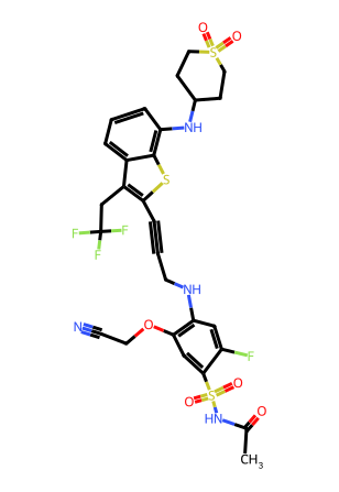 CC(=O)NS(=O)(=O)c1cc(OCC#N)c(NCC#Cc2sc3c(NC4CCS(=O)(=O)CC4)cccc3c2CC(F)(F)F)cc1F